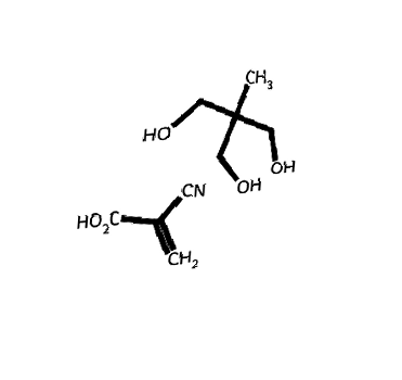 C=C(C#N)C(=O)O.CC(CO)(CO)CO